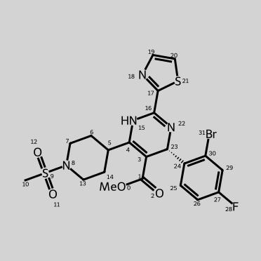 COC(=O)C1=C(C2CCN(S(C)(=O)=O)CC2)NC(c2nccs2)=N[C@@H]1c1ccc(F)cc1Br